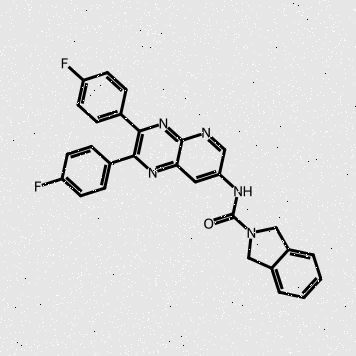 O=C(Nc1cnc2nc(-c3ccc(F)cc3)c(-c3ccc(F)cc3)nc2c1)N1Cc2ccccc2C1